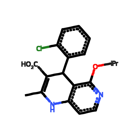 CC1=C(C(=O)O)C(c2ccccc2Cl)c2c(ccnc2OC(C)C)N1